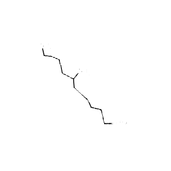 CCCCCCCCCCCC(N)CCCN